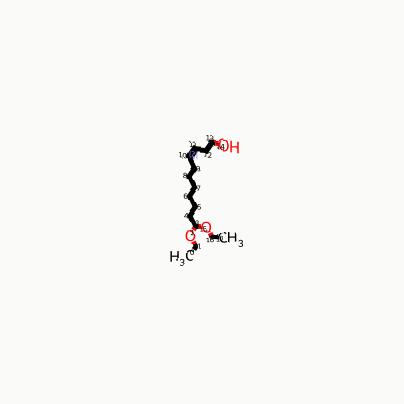 CCOC(CCCCCC/C=C\CCO)OCC